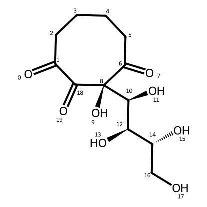 O=C1CCCCC(=O)[C@](O)([C@@H](O)[C@H](O)[C@H](O)CO)C1=O